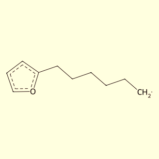 [CH2]CCCCCc1ccco1